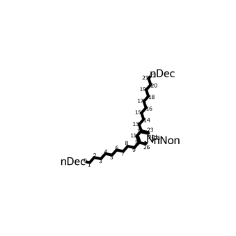 CCCCCCCCCCCCCCCCCCCc1cc(CCCCCCCCCCCCCCCCCCC)c[n+](CCCCCCCCC)c1